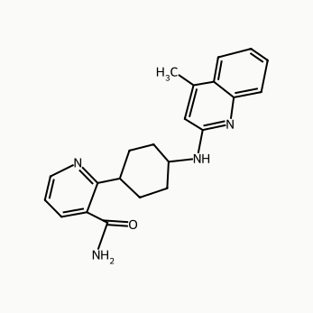 Cc1cc(NC2CCC(c3ncccc3C(N)=O)CC2)nc2ccccc12